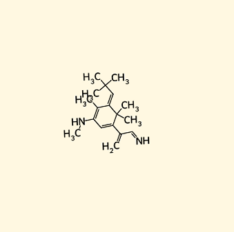 C=C(C=N)C1=CC(NC)=C(C)/C(=C\C(C)(C)C)C1(C)C